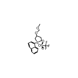 COCOC1CCS(OS(=O)(=O)C(F)(F)F)(c2cccc3ccccc23)C1